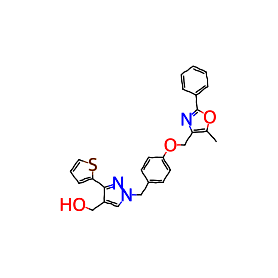 Cc1oc(-c2ccccc2)nc1COc1ccc(Cn2cc(CO)c(-c3cccs3)n2)cc1